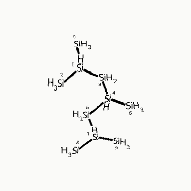 [SiH3][SiH]([SiH3])[SiH2][SiH]([SiH3])[SiH2][SiH]([SiH3])[SiH3]